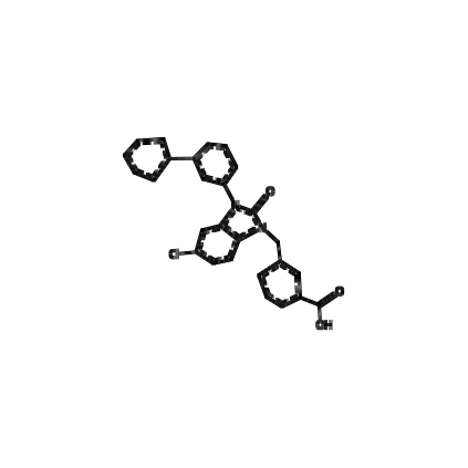 O=C(O)c1cccc(Cn2c(=O)n(-c3cccc(-c4ccccc4)c3)c3cc(Cl)ccc32)c1